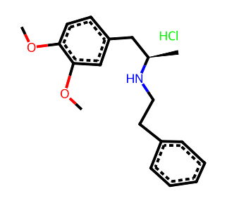 COc1ccc(C[C@@H](C)NCCc2ccccc2)cc1OC.Cl